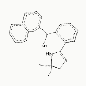 CC1(C)CN=C(c2ccccc2C(S)c2cccc3ccccc23)N1